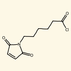 O=C(Cl)CCCCCN1C(=O)C=CC1=O